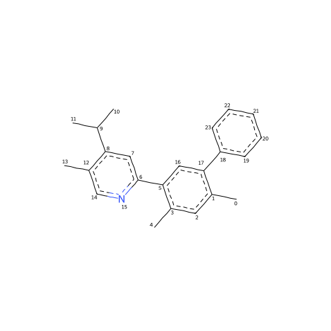 Cc1cc(C)c(-c2cc(C(C)C)c(C)cn2)cc1-c1ccccc1